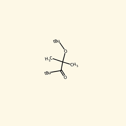 CC(C)(C)OC(C)(C)C(=O)C(C)(C)C